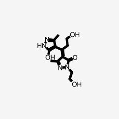 CC1=NN(CCO)C(=O)C1=C(CCO)c1c(C)n[nH]c1O